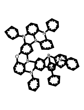 c1ccc(N2c3cc4c(cc3B3c5cc6c(cc5Oc5cccc2c53)N(c2ccccc2)c2cccc3c2B6c2ccccc2N3c2ccccc2)B2c3ccccc3N(c3ccccc3)c3cccc(c32)N4c2ccccc2)cc1